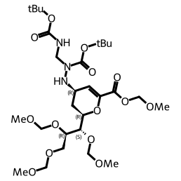 COCOC[C@@H](OCOC)[C@@H](OCOC)[C@H]1C[C@@H](NN(CNC(=O)OC(C)(C)C)C(=O)OC(C)(C)C)C=C(C(=O)OCOC)O1